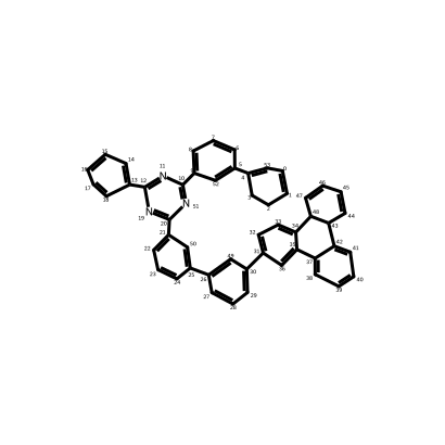 C1=CCCC(c2cccc(-c3nc(-c4ccccc4)nc(-c4cccc(-c5cccc(-c6ccc7c(c6)-c6ccccc6C6C=CC=CC76)c5)c4)n3)c2)=C1